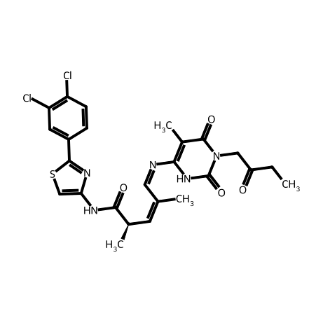 CCC(=O)Cn1c(=O)[nH]c(/N=C\C(C)=C/[C@@H](C)C(=O)Nc2csc(-c3ccc(Cl)c(Cl)c3)n2)c(C)c1=O